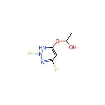 CC(O)OC1=CC(F)=NN(F)N1